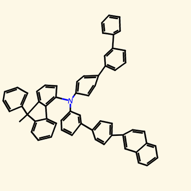 CC1(c2ccccc2)c2ccccc2-c2c(N(c3ccc(-c4cccc(-c5ccccc5)c4)cc3)c3cccc(-c4ccc(-c5ccc6ccccc6c5)cc4)c3)cccc21